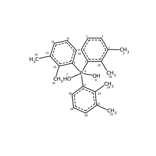 Cc1cccc(P(O)(O)(c2cccc(C)c2C)c2cccc(C)c2C)c1C